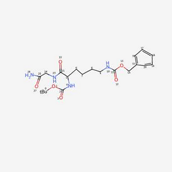 CC(C)(C)OC(=O)NC(CCCCNC(=O)OCc1ccccc1)C(=O)NCC(N)=O